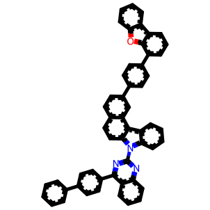 c1ccc(-c2ccc(-c3nc(-n4c5ccccc5c5c6cc(-c7ccc(-c8cccc9c8oc8ccccc89)cc7)ccc6ccc54)nc4ccccc34)cc2)cc1